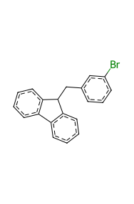 Brc1cccc(CC2c3ccccc3-c3ccccc32)c1